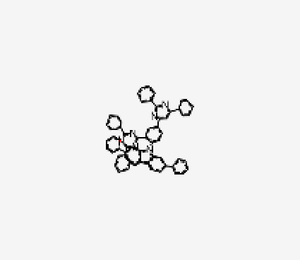 c1ccc(-c2ccc3c4ccc(-c5ccccc5)cc4n(-c4ccc(-c5cc(-c6ccccc6)nc(-c6ccccc6)n5)cc4-c4nc(-c5ccccc5)nc(-c5ccccc5)n4)c3c2)cc1